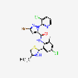 Cc1cc(Cl)cc(C2NC(C(=O)O)CS2)c1NC(=O)c1cc(Br)nn1-c1ncccc1Cl